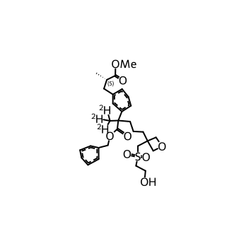 [2H]C([2H])([2H])C(CCCC1(CS(=O)(=O)CCO)COC1)(C(=O)OCc1ccccc1)c1cccc(C[C@H](C)C(=O)OC)c1